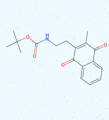 CC1=C(CCNC(=O)OC(C)(C)C)C(=O)c2ccccc2C1=O